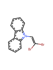 BrC(Br)=Cn1c2ccccc2c2ccccc21